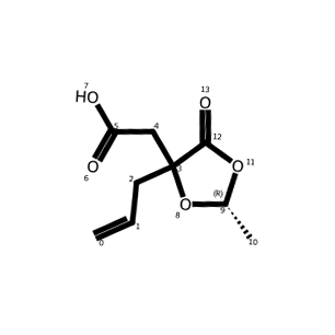 C=CCC1(CC(=O)O)O[C@@H](C)OC1=O